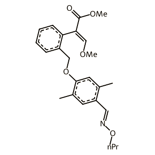 CCCO/N=C/c1cc(C)c(OCc2ccccc2/C(=C\OC)C(=O)OC)cc1C